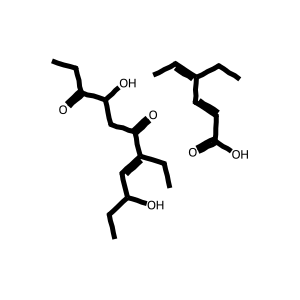 CC=C(C=CC(=O)O)CC.CCC(=O)C(O)CC(=O)C(=CC(O)CC)CC